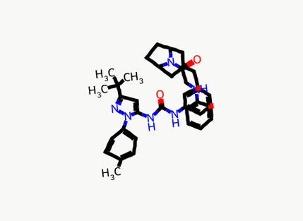 Cc1ccc(-n2nc(C(C)(C)C)cc2NC(=O)Nc2cccc(CC3CC4CCC(C3)N4C(=O)CNc3ccccc3)c2)cc1